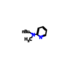 CCCCN(C)c1ccccn1